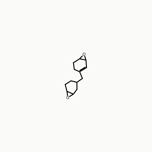 C1=C(CC2CCC3OC3C2)CCC2OC12